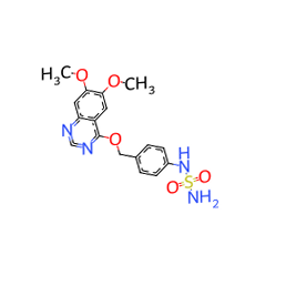 COc1cc2ncnc(OCc3ccc(NS(N)(=O)=O)cc3)c2cc1OC